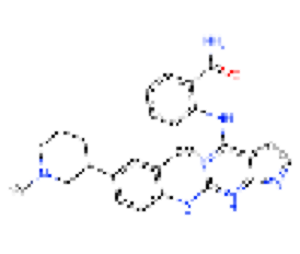 CCCN1CCCC(c2ccc(Nc3nc(Nc4ccccc4C(N)=O)c4ccnc-4[nH]3)c(OC)c2)C1